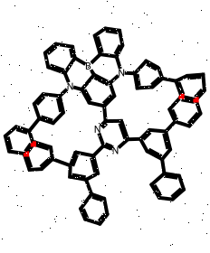 c1ccc(-c2ccc(N3c4ccccc4B4c5ccccc5N(c5ccc(-c6ccccc6)cc5)c5cc(-c6cc(-c7cc(-c8ccccc8)cc(-c8ccccc8)c7)nc(-c7cc(-c8ccccc8)cc(-c8ccccc8)c7)n6)cc3c54)cc2)cc1